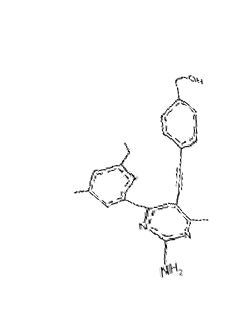 Cc1cc(C)cc(-c2nc(N)nc(C)c2C#Cc2ccc(CO)cc2)c1